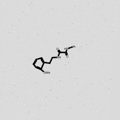 COc1ccccc1CCNC(=O)C(=O)NC(C)C